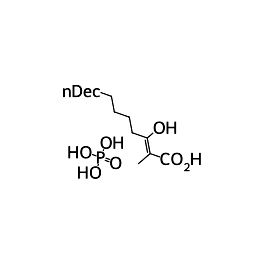 CCCCCCCCCCCCCCC(O)=C(C)C(=O)O.O=P(O)(O)O